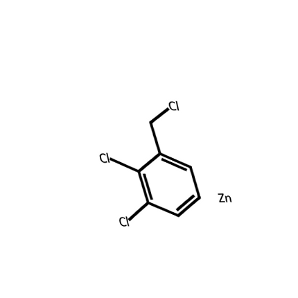 ClCc1cccc(Cl)c1Cl.[Zn]